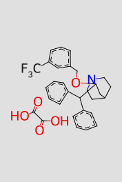 FC(F)(F)c1cccc(COC2(C(c3ccccc3)c3ccccc3)CC3CCN2CC3)c1.O=C(O)C(=O)O